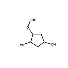 CC(=O)C1CC(O)CC1OC=O